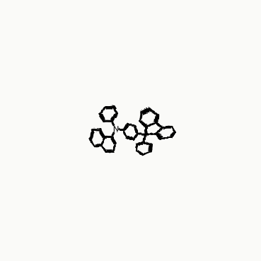 c1ccc(N(c2ccc(C3(c4ccccc4)c4ccccc4-c4ccccc43)cc2)c2cccc3ccccc23)cc1